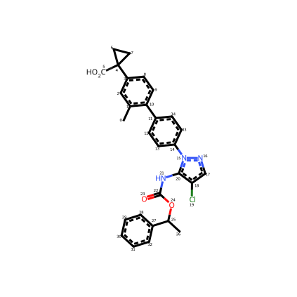 Cc1cc(C2(C(=O)O)CC2)ccc1-c1ccc(-n2ncc(Cl)c2NC(=O)OC(C)c2ccccc2)cc1